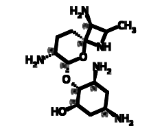 CC1N[C@]2(CC[C@@H](N)[C@@H](O[C@H]3[C@H](O)C[C@H](N)C[C@@H]3N)O2)[C@H]1N